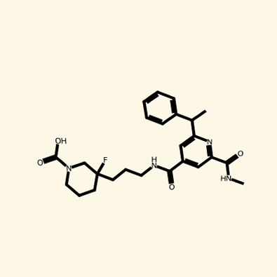 CNC(=O)c1cc(C(=O)NCCCC2(F)CCCN(C(=O)O)C2)cc(C(C)c2ccccc2)n1